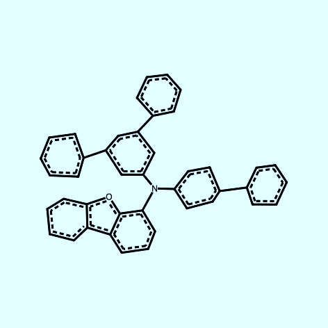 c1ccc(-c2ccc(N(c3cc(-c4ccccc4)cc(-c4ccccc4)c3)c3cccc4c3oc3ccccc34)cc2)cc1